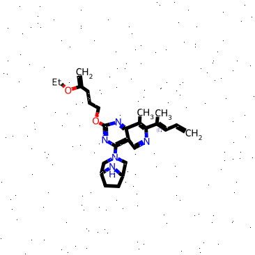 C=C/C=C(\C)c1ncc2c(N3CC4CCC(C3)N4)nc(OCCCC(=C)OCC)nc2c1C